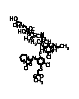 CCNc1nc(Cl)nc(NC(C)(C)C#N)n1.COC(=O)CSc1cc(/N=c2\sc(=O)n3n2CCCC3)c(F)cc1Cl.C[S+](C)C.O=C(O)CNCP(=O)([O-])O